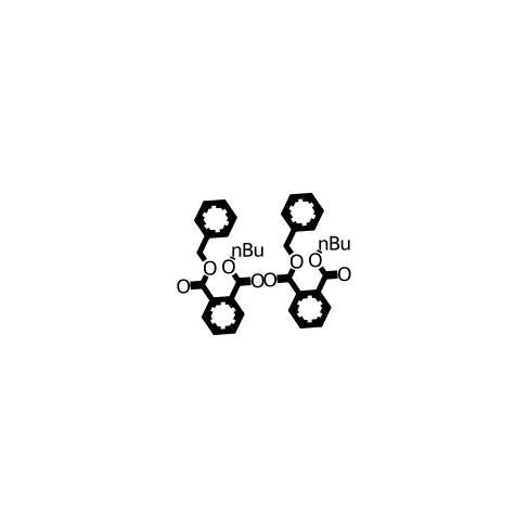 CCCCOC(=O)c1ccccc1C(=O)OCc1ccccc1.CCCCOC(=O)c1ccccc1C(=O)OCc1ccccc1